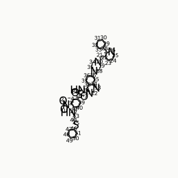 O=[N+]([O-])c1cc(S(=O)(=O)Nc2ncnc3cc(N4CCN(Cc5cccnc5-c5ccccc5)CC4)ccc23)ccc1NCCSc1ccccc1